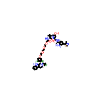 Cc1ncsc1-c1ccc([C@@H](CN)NC(=O)[C@@H]2C[C@@H](O)CN2C(=O)[C@@H](NC(=O)COCCOCCOCCOc2cc(F)c([C@@H]3c4[nH]c5ccccc5c4C[C@@H](C)N3CC(C)(C)F)c(F)c2)C(C)(C)C)cc1